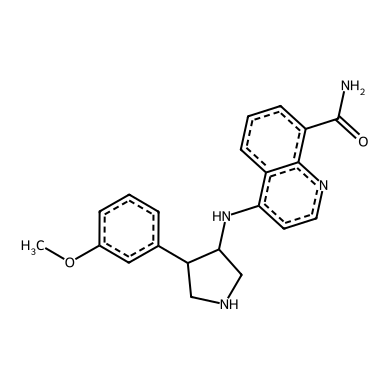 COc1cccc(C2CNCC2Nc2ccnc3c(C(N)=O)cccc23)c1